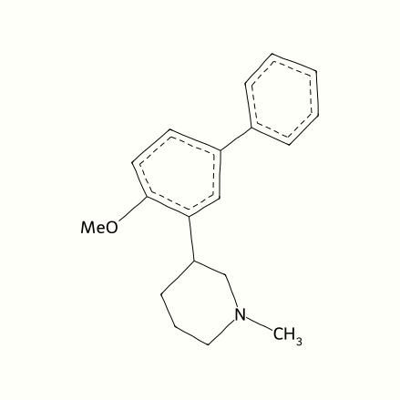 COc1ccc(-c2ccccc2)cc1C1CCCN(C)C1